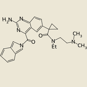 CCN(CCN(C)C)C(=O)C1(c2ccc3nc(N)nc(C(=O)n4cc5ccccc5c4)c3c2)CC1